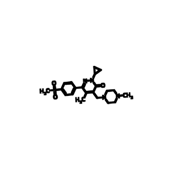 Cc1c(-c2ccc(S(C)(=O)=O)cc2)nn(C2CC2)c(=O)c1CN1CCN(C)CC1